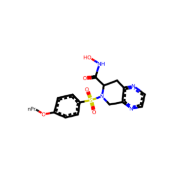 CCCOc1ccc(S(=O)(=O)N2Cc3nccnc3CC2C(=O)NO)cc1